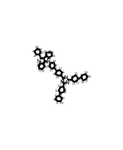 c1ccc(-c2ccc(-c3nc(-c4ccc(-c5ccccc5)cc4)nc(-c4ccc(-c5ccc(-n6c7ccccc7c7c(-c8ccccc8)nc8ccccc8c76)cc5)cc4)n3)cc2)cc1